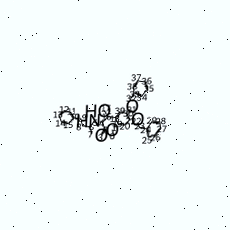 COC(=O)[C@@H](NC(C)CCc1ccccc1)C(O)c1ccc(OCc2ccccc2)c(OCc2ccccc2)c1